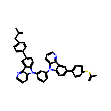 C=C(C)Cc1ccc(-c2ccc3c(c2)c2ncccc2n3-c2cccc(-n3c4ccc(-c5ccc(SC(=C)C)cc5)cc4c4ncccc43)c2)cc1